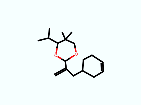 C=C(CC1CC=CCC1)C1OCC(C)(C)C(C(C)C)O1